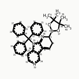 CC1(C)OB(C2CC=c3c(n(C(c4ccccc4)(c4ccccc4)c4ccccc4)c4ccncc34)=N2)OC1(C)C